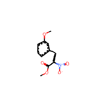 COC(=O)/C(=C\c1cccc(OC)c1)[N+](=O)[O-]